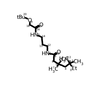 CCC(C)(C)CC(C)(C)CC(=O)NCCCNC(=O)COC(C)(C)C